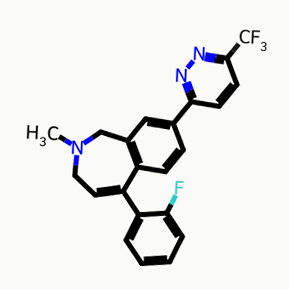 CN1CC=C(c2ccccc2F)c2ccc(-c3ccc(C(F)(F)F)nn3)cc2C1